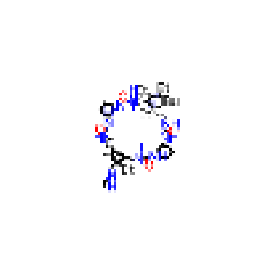 C#CNCc1c(C)c2c(CC)c(c1CC)CNC(=O)Nc1ccccc1NC(=O)NCC/C(CC)=C(\C(CC)=C(\CC)C(C)CC)CNC(=O)Nc1ccccc1NC(=O)NC2